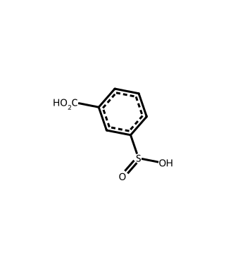 O=C(O)c1cccc(S(=O)O)c1